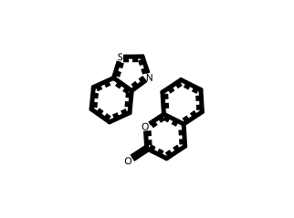 O=c1ccc2ccccc2o1.c1ccc2scnc2c1